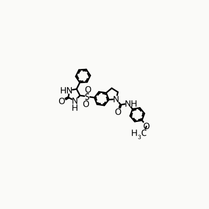 COc1ccc(NC(=O)N2CCc3cc(S(=O)(=O)C4NC(=O)NC4c4ccccc4)ccc32)cc1